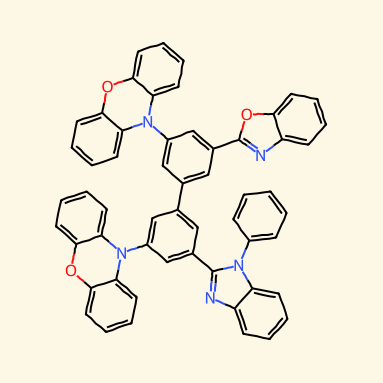 c1ccc(-n2c(-c3cc(-c4cc(-c5nc6ccccc6o5)cc(N5c6ccccc6Oc6ccccc65)c4)cc(N4c5ccccc5Oc5ccccc54)c3)nc3ccccc32)cc1